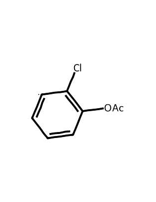 CC(=O)Oc1ccc[c]c1Cl